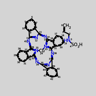 C=CCNS(=O)(=O)O.c1ccc2c(c1)C1=NC/2=N\c2c3ccccc3c3[n]2[Cu][n]2/c(c4ccccc4/c2=N/C2=N\C(=N/3)c3ccccc32)=N\1